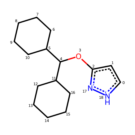 c1cc(OC(C2CCCCC2)C2CCCCC2)n[nH]1